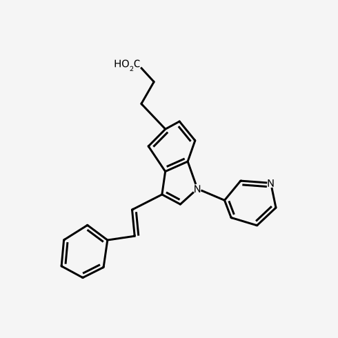 O=C(O)CCc1ccc2c(c1)c(C=Cc1ccccc1)cn2-c1cccnc1